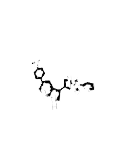 CN(C)c1ccc(-c2cnc3[nH]cc(-c4cnn(S(=O)(=O)c5cccs5)c4)c3c2)cc1